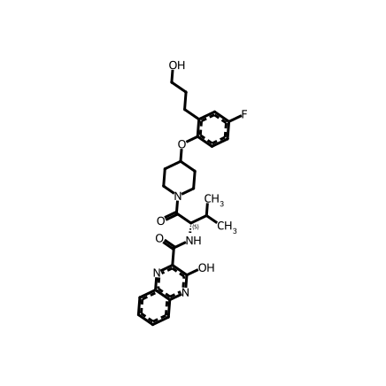 CC(C)[C@H](NC(=O)c1nc2ccccc2nc1O)C(=O)N1CCC(Oc2ccc(F)cc2CCCO)CC1